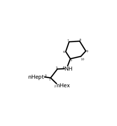 CCCCCCCC(CCCCCC)CNC1CCCCC1